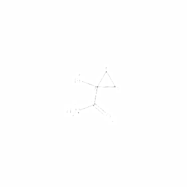 NC(=O)C1(Br)CC1